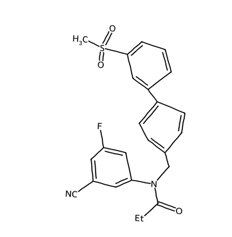 CCC(=O)N(Cc1ccc(-c2cccc(S(C)(=O)=O)c2)cc1)c1cc(F)cc(C#N)c1